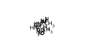 COc1cccc(F)c1-c1cc2c(cn1)NC(=O)/C2=C(/C)Nc1cnn(C(C)C#N)c1